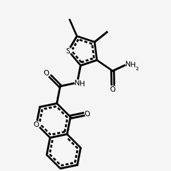 Cc1sc(NC(=O)c2coc3ccccc3c2=O)c(C(N)=O)c1C